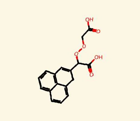 O=C(O)COOC(C(=O)O)C1=Cc2cccc3cccc(c23)C1